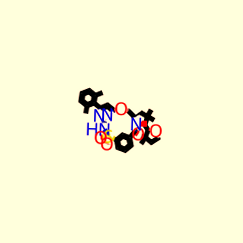 Cc1cccc(C)c1-c1cc2nc(n1)NS(=O)(=O)c1cccc(c1)C(=O)N(CC1OCCC1(C)C)[C@H](CC(C)(C)C)CO2